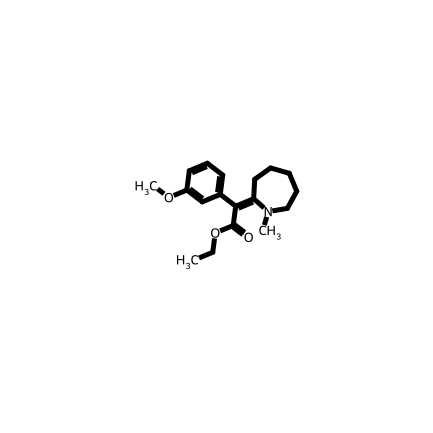 CCOC(=O)/C(=C1/CCCCCN1C)c1cccc(OC)c1